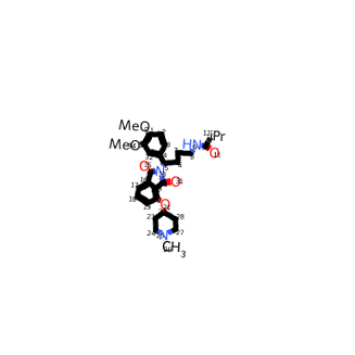 COc1ccc(C(CCCNC(=O)C(C)C)N2C(=O)c3cccc(OC4CCN(C)CC4)c3C2=O)cc1OC